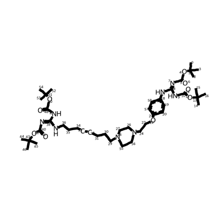 CC(C)(C)OC(=O)/N=C(\NC(=O)OC(C)(C)C)Nc1ccc(OCCN2CCN(CCCCCCCCN/C(=N\C(=O)OC(C)(C)C)NC(=O)OC(C)(C)C)CC2)cc1